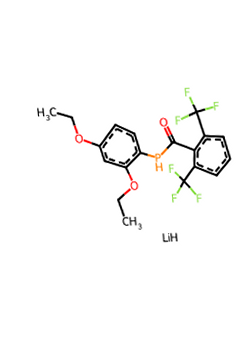 CCOc1ccc(PC(=O)c2c(C(F)(F)F)cccc2C(F)(F)F)c(OCC)c1.[LiH]